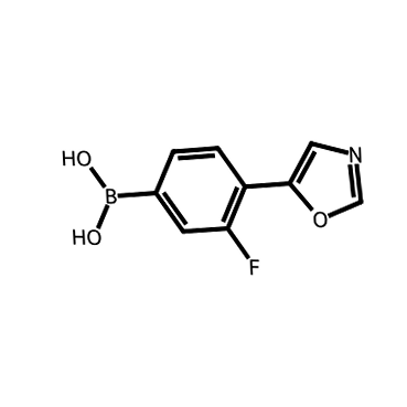 OB(O)c1ccc(-c2cnco2)c(F)c1